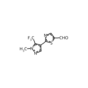 Cn1ncc(-c2ncc(C=O)s2)c1C(F)(F)F